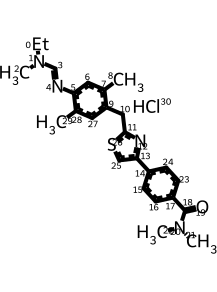 CCN(C)C=Nc1cc(C)c(Cc2nc(-c3ccc(C(=O)N(C)C)cc3)cs2)cc1C.Cl